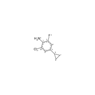 Nc1c(F)cc(C2CC2)cc1Cl